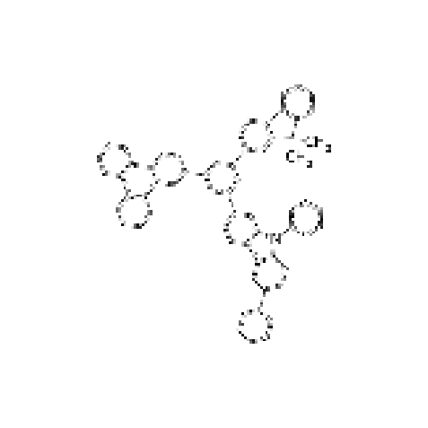 CC1(C)c2ccccc2-c2ccc(-c3cc(-c4ccc5c6ccccc6c6ccccc6c5c4)cc(-c4ccc5c6cc(-c7ccccc7)ccc6n(-c6ccccc6)c5c4)c3)cc21